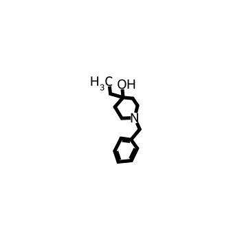 CCC1(O)CCN(Cc2ccccc2)CC1